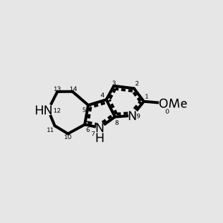 COc1ccc2c3c([nH]c2n1)CCNCC3